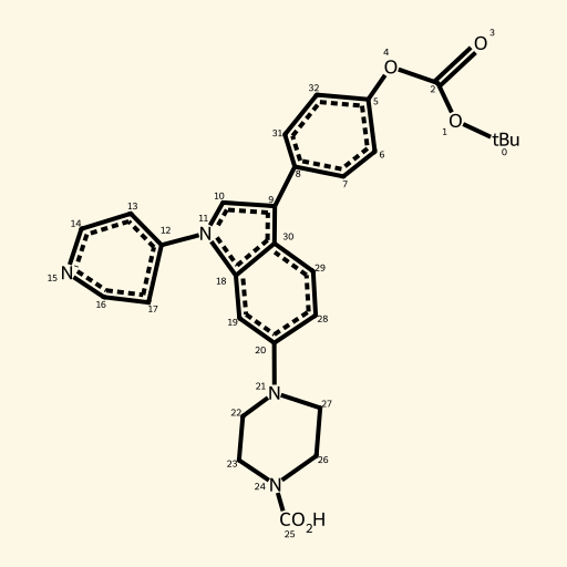 CC(C)(C)OC(=O)Oc1ccc(-c2cn(-c3ccncc3)c3cc(N4CCN(C(=O)O)CC4)ccc23)cc1